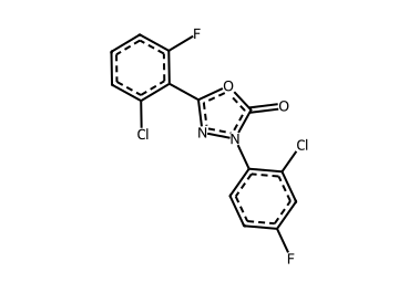 O=c1oc(-c2c(F)cccc2Cl)nn1-c1ccc(F)cc1Cl